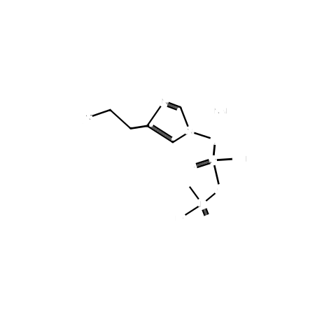 NCCc1cn(OP(=O)(O)OP(=O)(O)O)cn1.[NaH]